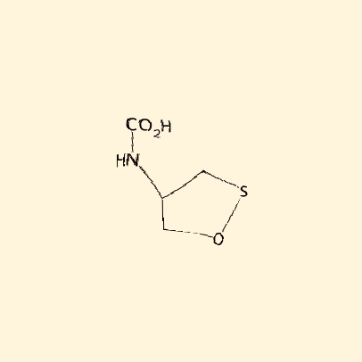 O=C(O)NC1COSC1